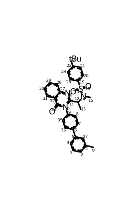 Cc1cccc(-c2ccc(-n3c(C(C)N(C)S(=O)(=O)c4ccc(C(C)(C)C)cc4)nc4ccccc4c3=O)cc2)c1